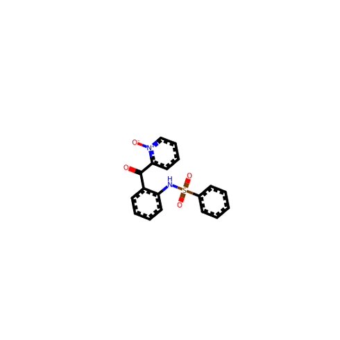 O=C(c1ccccc1NS(=O)(=O)c1ccccc1)c1cccc[n+]1[O-]